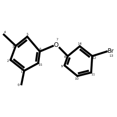 Cc1cc(C)cc(Oc2cccc(Br)c2)c1